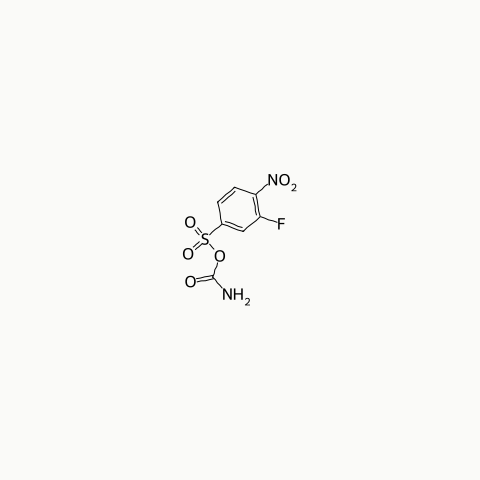 NC(=O)OS(=O)(=O)c1ccc([N+](=O)[O-])c(F)c1